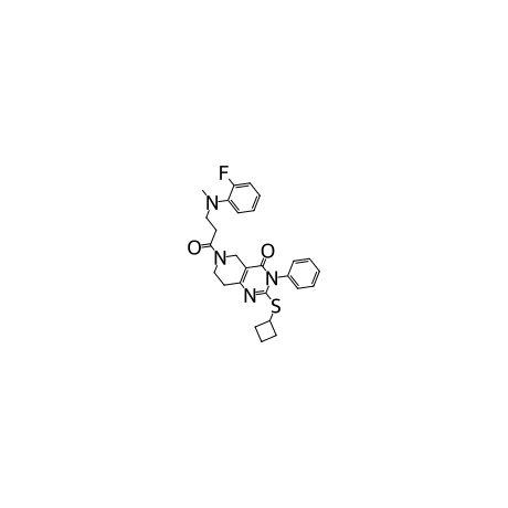 CN(CCC(=O)N1CCc2nc(SC3CCC3)n(-c3ccccc3)c(=O)c2C1)c1ccccc1F